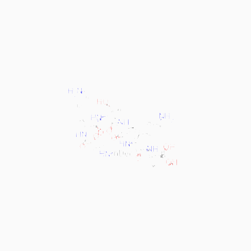 CCCCCCCCCCNCCS(=O)(=O)N[C@@H](CCCCN)C(=O)N[C@H](C(=O)N[C@@H](C)C(=O)N[C@@H](CCCCN)C(=O)N[C@@H](C)B(O)O)[C@@H](C)O